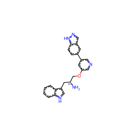 N[C@H](COc1cncc(-c2ccc3[nH]ncc3c2)c1)Cc1c[nH]c2ccccc12